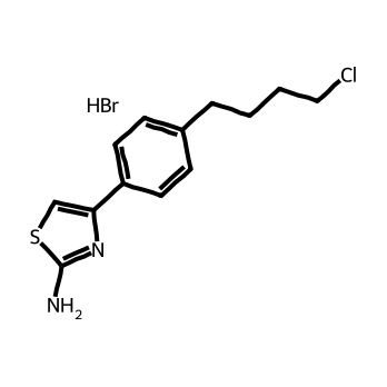 Br.Nc1nc(-c2ccc(CCCCCl)cc2)cs1